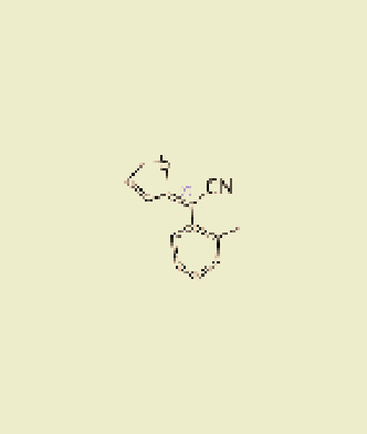 Cc1ccccc1/C(C#N)=C1\C=CCS1